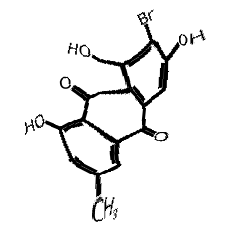 Cc1cc(O)c2c(c1)C(=O)c1cc(O)c(Br)c(O)c1C2=O